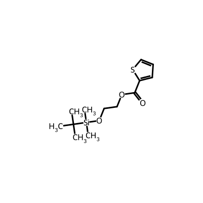 CC(C)(C)[Si](C)(C)OCCOC(=O)c1cccs1